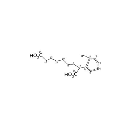 Cc1ccccc1C(CCCCCCC(=O)O)C(=O)O